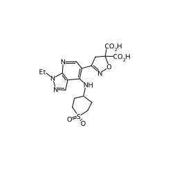 CCn1ncc2c(NC3CCS(=O)(=O)CC3)c(C3=NOC(C(=O)O)(C(=O)O)C3)cnc21